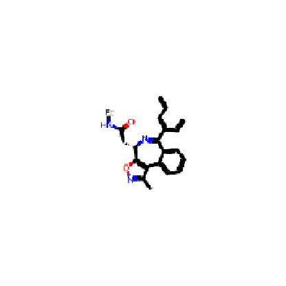 C=C/C=C(\C=C)C1=N[C@@H](CC(=O)NCC)c2onc(C)c2-c2ccccc21